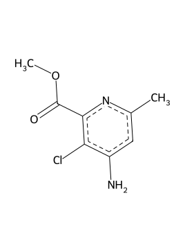 COC(=O)c1nc(C)cc(N)c1Cl